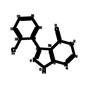 O=C1[N]C=Nc2[nH]nc(-c3ccccc3Cl)c21